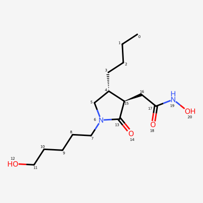 CCCC[C@H]1CN(CCCCCO)C(=O)[C@@H]1CC(=O)NO